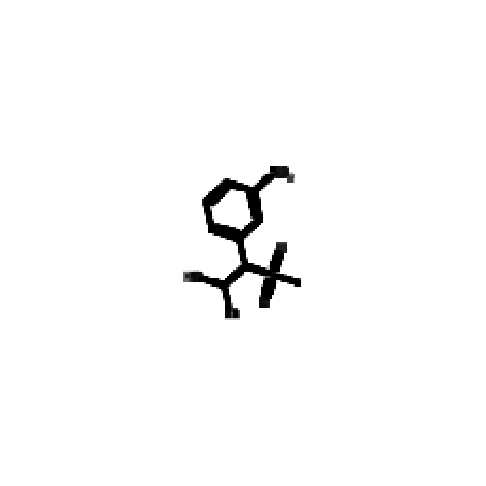 CCC(O)C(c1cccc([N+](=O)[O-])c1)S(C)(=O)=O